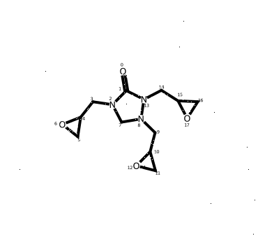 O=C1N(CC2CO2)CN(CC2CO2)N1CC1CO1